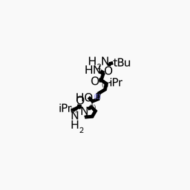 CC(C)[C@H](N)C(=O)N1CCC[C@H]1C(O)/C=C/C[C@H](C(=O)C(=N)OC(N)C(C)(C)C)C(C)C